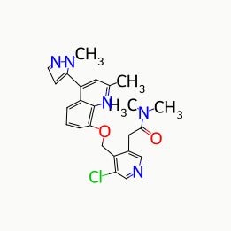 Cc1cc(-c2ccnn2C)c2cccc(OCc3c(Cl)cncc3CC(=O)N(C)C)c2n1